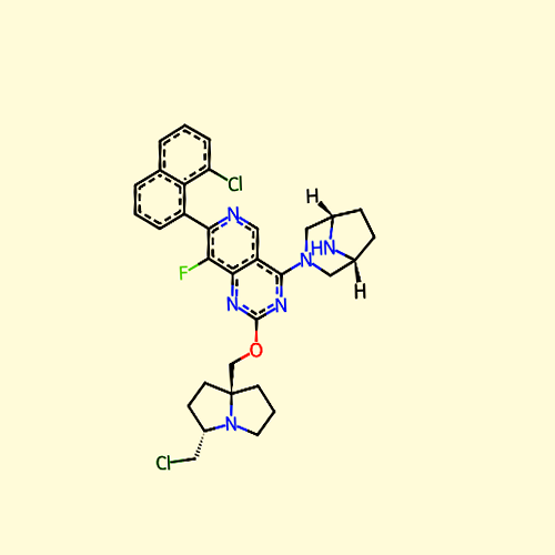 Fc1c(-c2cccc3cccc(Cl)c23)ncc2c(N3C[C@H]4CC[C@@H](C3)N4)nc(OC[C@@]34CCCN3[C@H](CCl)CC4)nc12